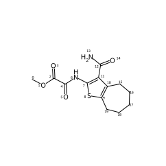 COC(=O)C(=O)Nc1sc2c(c1C(N)=O)CCCCC2